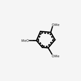 COc1[c]c(OC)cc(OC)[c]1